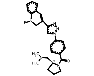 CN(C)C[C@@H]1CCCN1C(=O)c1ccc(-n2cc(C3=Cc4ccccc4N(F)C3)nn2)cc1